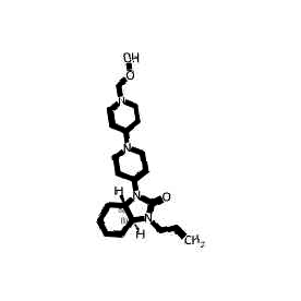 C=CCN1C(=O)N(C2CCN(C3CCN(COO)CC3)CC2)[C@H]2CCCC[C@@H]21